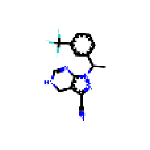 CC(c1cccc(C(F)(F)F)c1)n1nc(C#N)c2c1N=CNC2